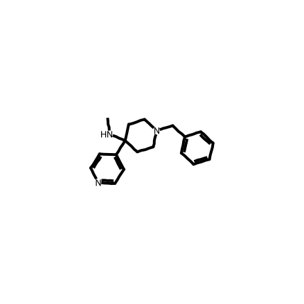 CNC1(c2ccncc2)CCN(Cc2ccccc2)CC1